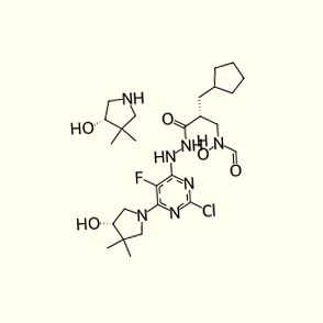 CC1(C)CN(c2nc(Cl)nc(NNC(=O)[C@H](CC3CCCC3)CN(O)C=O)c2F)C[C@H]1O.CC1(C)CNC[C@H]1O